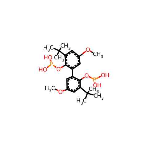 COc1cc(-c2cc(OC)cc(C(C)(C)C)c2OP(O)O)c(OP(O)O)c(C(C)(C)C)c1